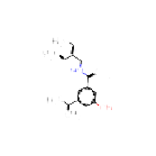 C=C/C(=C\C)CNC(=C)c1cc(O)cc(C(=C)C)c1